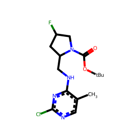 Cc1cnc(Cl)nc1NCC1CC(F)CN1C(=O)OC(C)(C)C